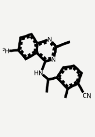 [2H]c1ccc2nc(C)nc(NC(C)c3cccc(C#N)c3C)c2c1